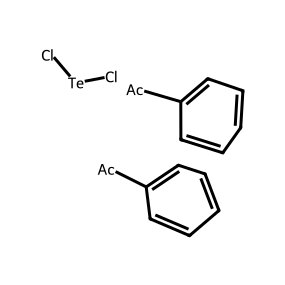 CC(=O)c1ccccc1.CC(=O)c1ccccc1.Cl[Te]Cl